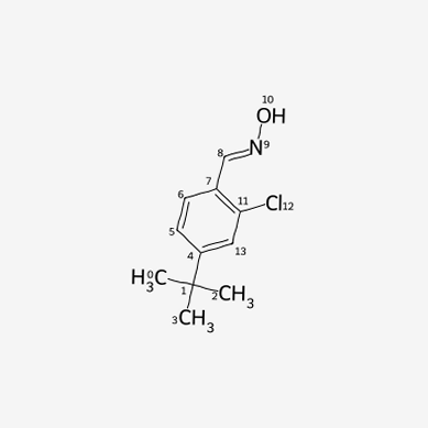 CC(C)(C)c1ccc(C=NO)c(Cl)c1